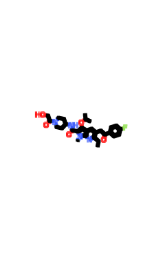 CCc1nc2c(cc1CC(=O)c1ccc(F)cc1)c(OC(C)C)c(C(=O)NC1CCN(C(=O)CO)CC1)n2C